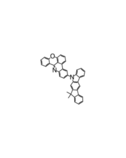 CC1(C)c2ccccc2-c2cc3c4ccccc4n(-c4ccc5nc6c7c(cccc7c5c4)Oc4ccccc4-6)c3cc21